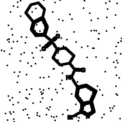 CCn1ncc2ccc(NC(=O)C3CCN(S(=O)(=O)c4ccc5c(c4)CCCC5)CC3)cc21